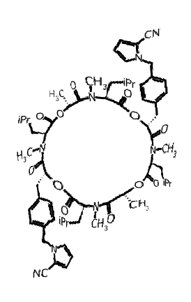 CC(C)C[C@H]1C(=O)O[C@H](Cc2ccc(Cn3cccc3C#N)cc2)C(=O)N(C)[C@@H](CC(C)C)C(=O)O[C@H](C)C(=O)N(C)[C@@H](CC(C)C)C(=O)O[C@H](Cc2ccc(Cn3cccc3C#N)cc2)C(=O)N(C)[C@@H](CC(C)C)C(=O)O[C@H](C)C(=O)N1C